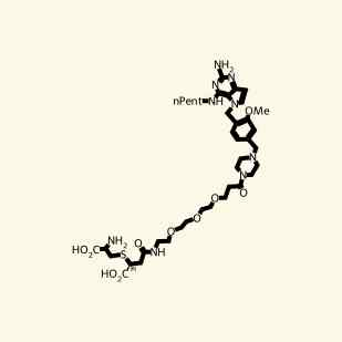 CCCCCNc1nc(N)nc2ccn(Cc3ccc(CN4CCN(C(=O)CCOCCOCCOCCNC(=O)C[C@@H](SCC(N)C(=O)O)C(=O)O)CC4)cc3OC)c12